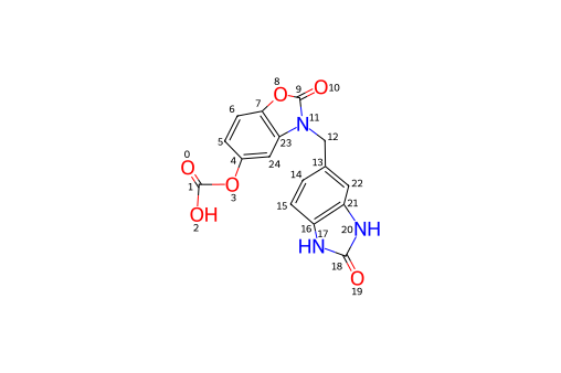 O=C(O)Oc1ccc2oc(=O)n(Cc3ccc4[nH]c(=O)[nH]c4c3)c2c1